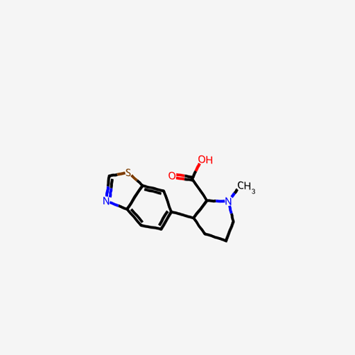 CN1CCCC(c2ccc3ncsc3c2)C1C(=O)O